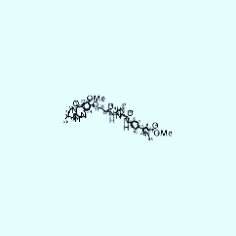 COC(=O)c1cc(-c2ccc(NC(=O)c3nc(NC(=O)CCCOc4cc5c(cc4OC)C(=O)N4CCC(C)C[C@H]4C=N5)cn3C)cc2)cn1C